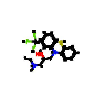 CCN(C)CC(O)CN1c2ccccc2Sc2ccc(C(F)(F)F)cc21